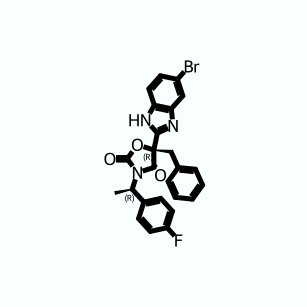 C[C@H](c1ccc(F)cc1)N1C(=O)O[C@](Cc2ccccc2)(c2nc3cc(Br)ccc3[nH]2)C1=O